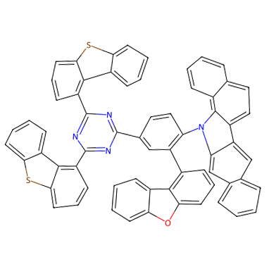 c1ccc2cc3c(cc2c1)c1ccc2ccccc2c1n3-c1ccc(-c2nc(-c3cccc4sc5ccccc5c34)nc(-c3cccc4sc5ccccc5c34)n2)cc1-c1cccc2oc3ccccc3c12